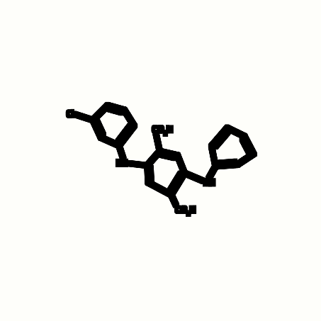 O=C(O)c1cc(Nc2cccc(Cl)c2)c(C(=O)O)cc1Nc1ccccc1